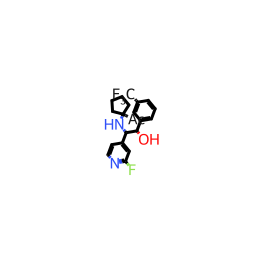 CC(=O)C1(NC(c2ccnc(F)c2)C(O)c2cccc(C(F)(F)F)c2)CCCC1